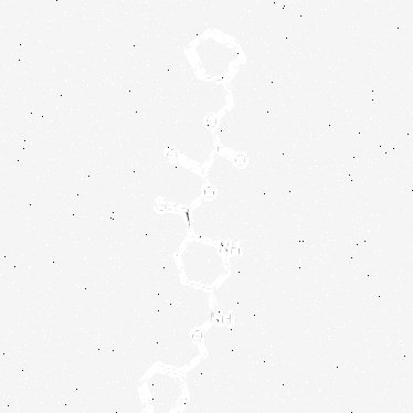 O=C(OCc1ccccc1)C(=O)OC(=O)[C@@H]1CC[C@@H](NOCc2ccccc2)CN1